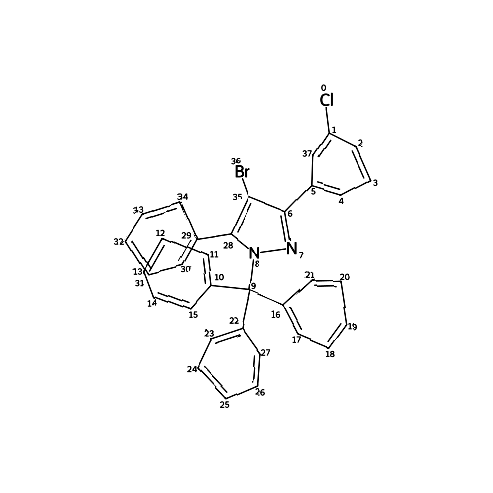 Clc1cccc(-c2nn(C(c3ccccc3)(c3ccccc3)c3ccccc3)c(-c3ccccc3)c2Br)c1